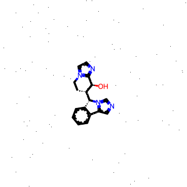 O[C@@H]1c2nccn2CC[C@H]1[C@H]1c2ccccc2-c2cncn21